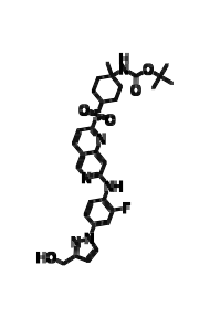 CC1(NC(=O)OC(C)(C)C)CCC(S(=O)(=O)c2ccc3cnc(Nc4ccc(-n5ccc(CO)n5)cc4F)cc3n2)CC1